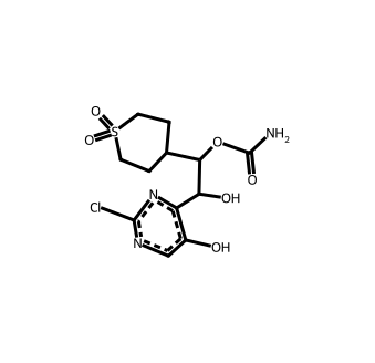 NC(=O)OC(C1CCS(=O)(=O)CC1)C(O)c1nc(Cl)ncc1O